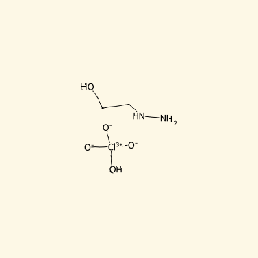 NNCCO.[O-][Cl+3]([O-])([O-])O